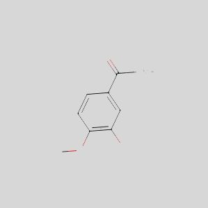 CCOc1ccc(C(=O)OC)cc1O